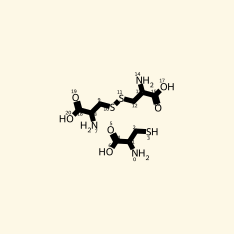 NC(CS)C(=O)O.NC(CSSCC(N)C(=O)O)C(=O)O